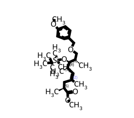 COC(=O)[C@@H](C)C/C(C)=C\[C@H](C)[C@@H](O[Si](C)(C)C(C)(C)C)[C@@H](C)COCc1ccc(OC)cc1